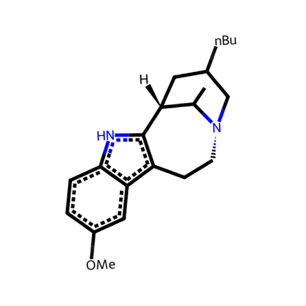 CCCCC1C[C@H]2c3[nH]c4ccc(OC)cc4c3CC[N@@](C1)C2C